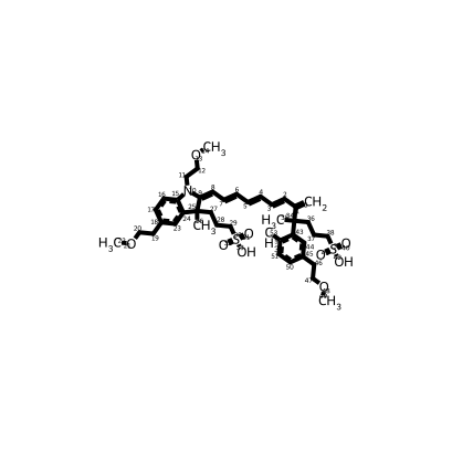 C=C(/C=C/C=C/C=C/C=C1/N(CCOC)c2ccc(CCOC)cc2C1(C)CCCS(=O)(=O)O)C(C)(CCCS(=O)(=O)O)c1cc(CCOC)ccc1C